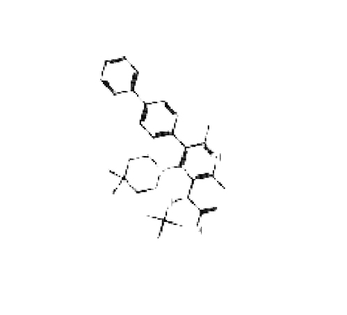 Cc1nc(C)c([C@H](OC(C)(C)C)C(=O)O)c(N2CCC(C)(C)CC2)c1-c1ccc(-c2ccccc2)cc1